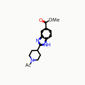 COC(=O)c1ccc2[nH]c(C3CCN(C(C)=O)CC3)nc2c1